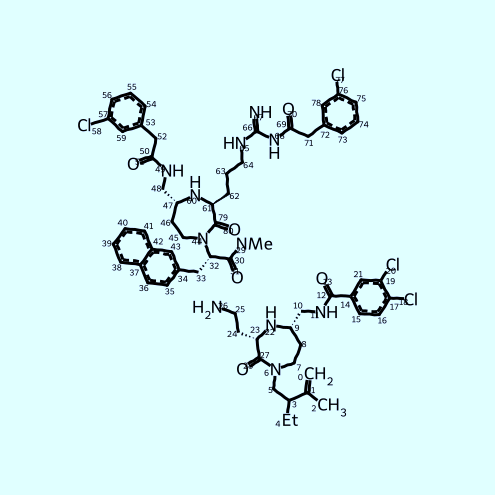 C=C(C)C(CC)CN1CC[C@@H](CNC(=O)c2ccc(Cl)c(Cl)c2)N[C@@H](CCN)C1=O.CNC(=O)[C@H](Cc1ccc2ccccc2c1)N1CC[C@H](CNC(=O)Cc2cccc(Cl)c2)N[C@@H](CCCNC(=N)NC(=O)Cc2cccc(Cl)c2)C1=O